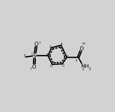 CS(=O)(=O)c1[c]cc(C(N)=O)cc1